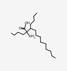 CCCCCCCCCC(CCCC)[C]([InH2])(CCCC)C(=O)O